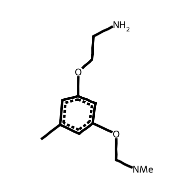 CNCOc1cc(C)cc(OCCN)c1